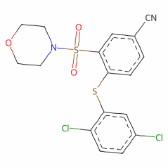 N#Cc1ccc(Sc2cc(Cl)ccc2Cl)c(S(=O)(=O)N2CCOCC2)c1